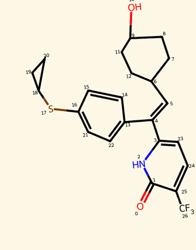 O=c1[nH]c(C(=CC2CCC(O)CC2)c2ccc(SC3CC3)cc2)ccc1C(F)(F)F